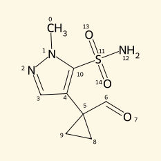 Cn1ncc(C2(C=O)CC2)c1S(N)(=O)=O